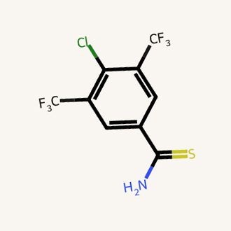 NC(=S)c1cc(C(F)(F)F)c(Cl)c(C(F)(F)F)c1